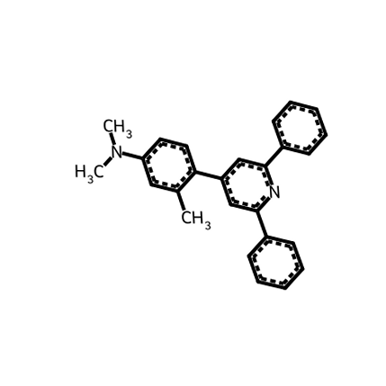 Cc1cc(N(C)C)ccc1-c1cc(-c2ccccc2)nc(-c2ccccc2)c1